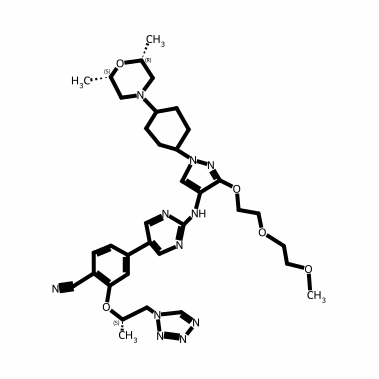 COCCOCCOc1nn(C2CCC(N3C[C@@H](C)O[C@@H](C)C3)CC2)cc1Nc1ncc(-c2ccc(C#N)c(O[C@@H](C)Cn3cnnn3)c2)cn1